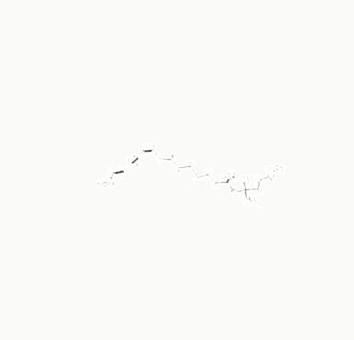 CCCC/C=C/C=C/C=C\CCCCCCCC(=O)OC(C)(C)CCOC(C)C